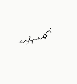 COCCNC(=S)NCCSCc1ccc(CN(C)C)o1